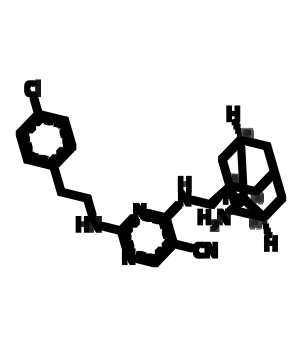 N#Cc1cnc(NCCc2ccc(Cl)cc2)nc1NC[C@]12CC3C[C@H](C1)[C@@H](N)[C@@H](C3)C2